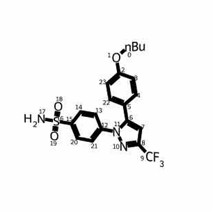 CCCCOc1ccc(-c2cc(C(F)(F)F)nn2-c2ccc(S(N)(=O)=O)cc2)cc1